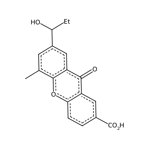 CCC(O)c1cc(C)c2oc3ccc(C(=O)O)cc3c(=O)c2c1